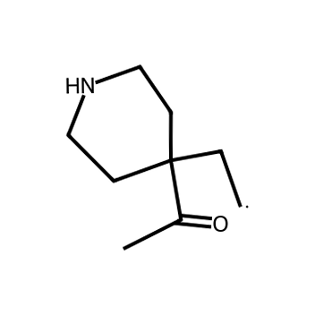 [CH2]CC1(C(C)=O)CCNCC1